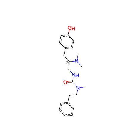 CN(CCc1ccccc1)C(=O)NC[C@H](Cc1ccc(O)cc1)N(C)C